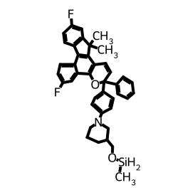 C[SiH2]OCC1CCCN(c2ccc(C3(c4ccccc4)C=Cc4c5c(c6ccc(F)cc6c4O3)-c3ccc(F)cc3C5(C)C)cc2)C1